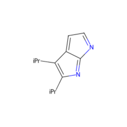 CC(C)C1=C(C(C)C)C2=CC=NC2=N1